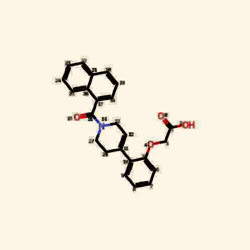 O=C(O)COc1ccccc1C1=CCN(C(=O)c2cccc3ccccc23)CC1